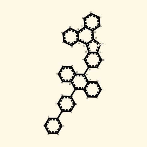 c1ccc(-c2ccc(-c3c4ccccc4c(-c4ccc5oc6c7ccccc7c7ccccc7c6c5c4)c4ccccc34)cc2)cc1